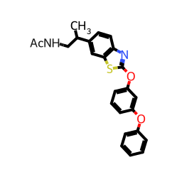 CC(=O)NCC(C)c1ccc2nc(Oc3cccc(Oc4ccccc4)c3)sc2c1